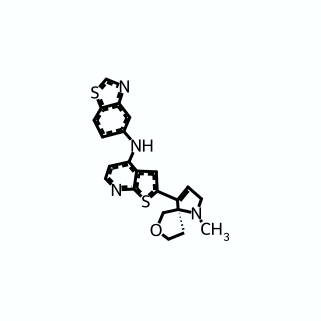 CN1CC=C(c2cc3c(Nc4ccc5scnc5c4)ccnc3s2)[C@@]12CCOC2